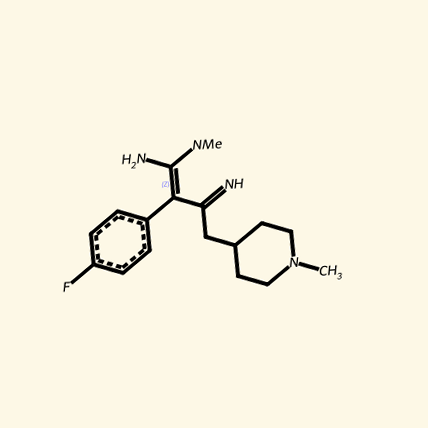 CN/C(N)=C(\C(=N)CC1CCN(C)CC1)c1ccc(F)cc1